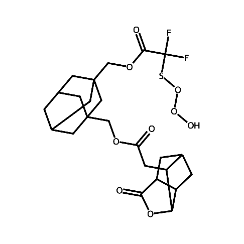 O=C(CC1C2CC3C(=O)OC1C3C2)OCC12CC3CC(C1)CC(COC(=O)C(F)(F)SOOO)(C3)C2